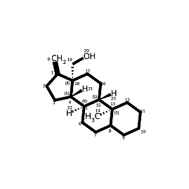 C=C1CC[C@H]2[C@@H]3CCC4CCCC[C@]4(C)[C@H]3CC[C@]12CO